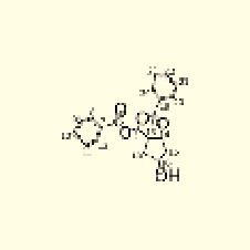 O=C(OC(OC(=O)c1ccccc1)C1CCC(O)C1)c1ccccc1